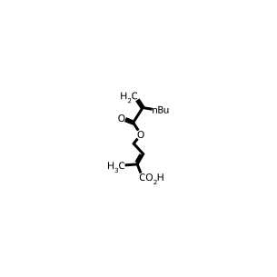 C=C(CCCC)C(=O)OCC=C(C)C(=O)O